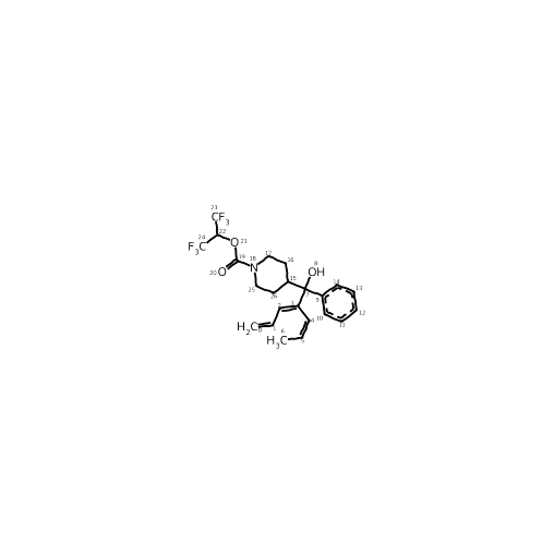 C=C/C=C(\C=C/C)C(O)(c1ccccc1)C1CCN(C(=O)OC(C(F)(F)F)C(F)(F)F)CC1